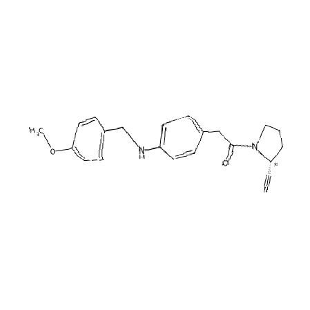 COc1ccc(CNc2ccc(CC(=O)N3CCC[C@@H]3C#N)cc2)cc1